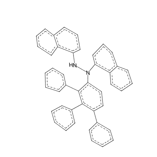 c1ccc(-c2ccc(N(Nc3cccc4ccccc34)c3cccc4ccccc34)c(-c3ccccc3)c2-c2ccccc2)cc1